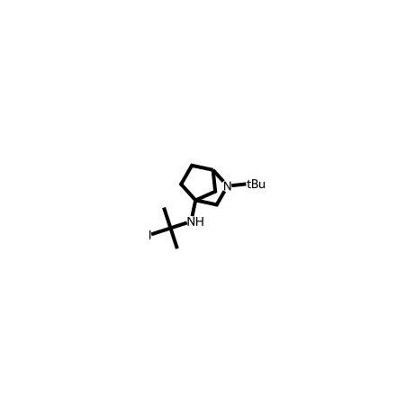 CC(C)(I)NC12CCC(C1)N(C(C)(C)C)C2